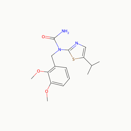 COc1cccc(CN(C(N)=O)c2ncc(C(C)C)s2)c1OC